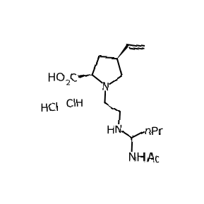 C=C[C@@H]1C[C@H](C(=O)O)N(CCNC(CCC)NC(C)=O)C1.Cl.Cl